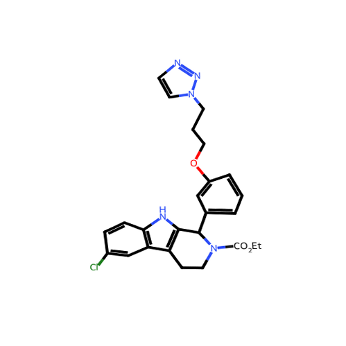 CCOC(=O)N1CCc2c([nH]c3ccc(Cl)cc23)C1c1cccc(OCCCn2ccnn2)c1